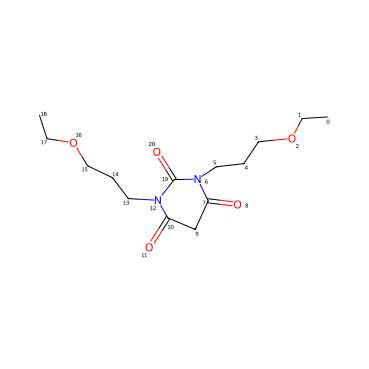 CCOCCCN1C(=O)CC(=O)N(CCCOCC)C1=O